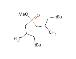 COP(=O)(CC(C)CC(C)(C)C)CC(C)CC(C)(C)C